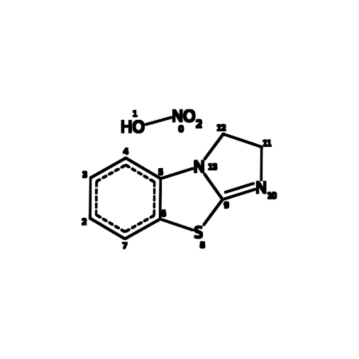 O=[N+]([O-])O.c1ccc2c(c1)SC1=NCCN12